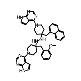 COc1ccccc1CC1(NNC2(Cc3cccc4ccccc34)CCN(c3ncnc4[nH]ccc34)CC2)CCN(c2ncnc3[nH]ccc23)CC1